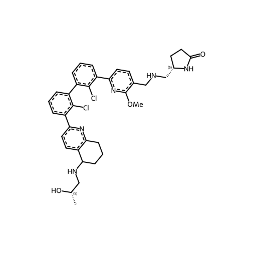 COc1nc(-c2cccc(-c3cccc(-c4ccc5c(n4)CCCC5NC[C@H](C)O)c3Cl)c2Cl)ccc1CNC[C@@H]1CCC(=O)N1